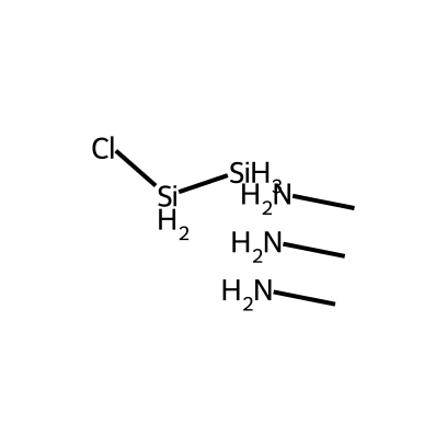 CN.CN.CN.[SiH3][SiH2]Cl